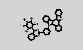 [2H]c1c([2H])c([2H])c(-c2nc(-c3cccc(-n4c5ccccc5c5c6c7ccccc7sc6c6ccccc6c54)c3)nc3ccccc23)c([2H])c1[2H]